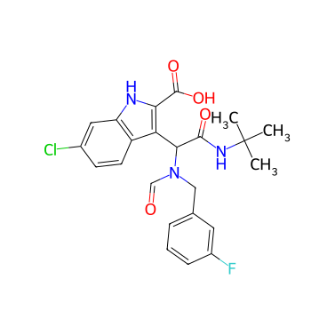 CC(C)(C)NC(=O)C(c1c(C(=O)O)[nH]c2cc(Cl)ccc12)N(C=O)Cc1cccc(F)c1